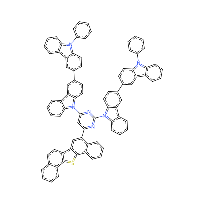 c1ccc(-n2c3ccccc3c3cc(-c4ccc5c(c4)c4ccccc4n5-c4cc(-c5cc6c7ccc8ccccc8c7sc6c6ccccc56)nc(-n5c6ccccc6c6cc(-c7ccc8c(c7)c7ccccc7n8-c7ccccc7)ccc65)n4)ccc32)cc1